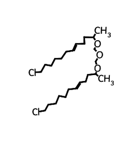 CC(CCC=CCCCCCCCl)OCOCOC(C)CCC=CCCCCCCCl